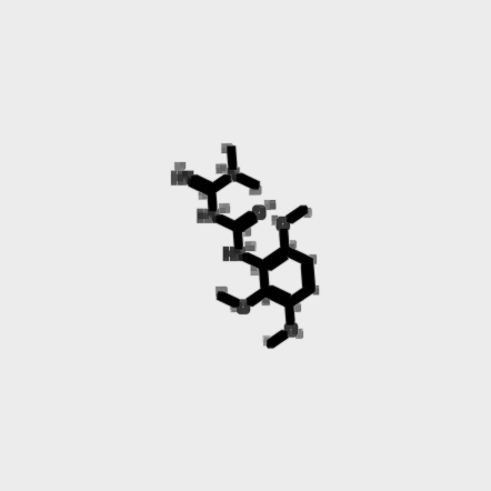 COc1ccc(OC)c(OC)c1NC(=O)NC(=N)N(C)C